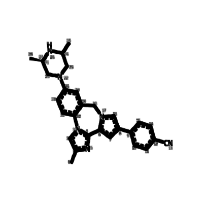 Cc1cn2c(n1)-c1cc(-c3ccc(C#N)cc3)cn1Cc1cc(N3CC(C)N[C@H](C)C3)ccc1-2